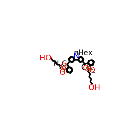 C=C(c1ccc2c(c1)c1cc(C(=C)c3ccccc3S(=O)(=O)CCCCCCO)ccc1n2CCCCCC)c1ccccc1S(=O)(=O)CCCCCCO